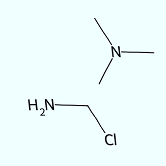 CN(C)C.NCCl